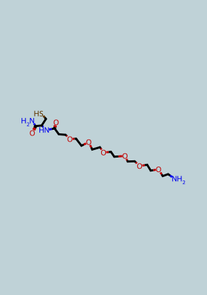 NCCOCCOCCOCCOCCOCCOCCC(=O)NC(CS)C(N)=O